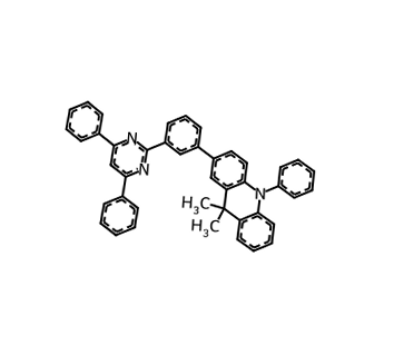 CC1(C)c2ccccc2N(c2ccccc2)c2ccc(-c3cccc(-c4nc(-c5ccccc5)cc(-c5ccccc5)n4)c3)cc21